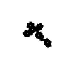 c1ccc(-n2nc3ccc(-n4c5ccccc5c5c6ccccc6c6c7ccccc7sc6c54)cc3n2)cc1